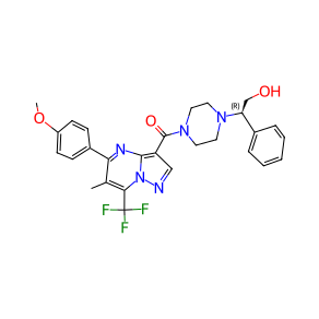 COc1ccc(-c2nc3c(C(=O)N4CCN([C@@H](CO)c5ccccc5)CC4)cnn3c(C(F)(F)F)c2C)cc1